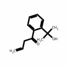 C=CCC(=O)c1ccccc1C(C)(C)O